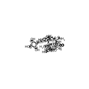 CSCC[C@H](NC(=O)[C@H](CC(C)C)NC(=O)[C@H](Cc1c[nH]cn1)NC(=O)CNC(=O)[C@H](C)NC(=O)[C@H](C)NC(=O)[C@H](Cc1c[nH]c2ccccc12)NC(=O)[C@H](CCC(N)=O)NC(=O)CC[C@@H](C)[C@H]1CCC2C3CC[C@@H]4C[C@@H](NC(=O)CNC(=O)CN5CCN(CC(=O)O)CCN(CC(=O)O)CCN(CC(=O)O)CC5)CC[C@]4(C)C3CC(=O)[C@@]21C)C(N)=O